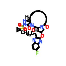 CCc1nc2ccc(F)cc2nc1O[C@@H]1C[C@H]2C(=O)N[C@]3(C(=O)NS(=O)(=O)C4(C)CC4)C[C@H]3/C=C\CCCCCCC(=O)N2C1